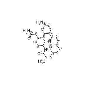 CN1Cc2cnc3ccc(-c4ccc(N)nc4)nc3c2N(C2CCN(CC(N)=O)CC2)C1=O